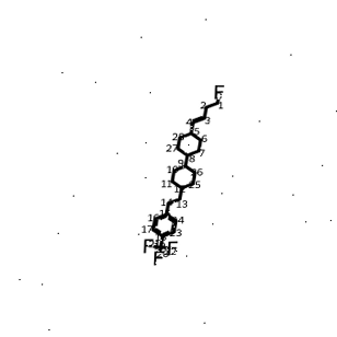 FCCC=CC1CCC(C2CCC(CCc3ccc(C(F)(F)F)cc3)CC2)CC1